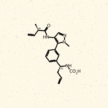 C=CC[C@H](NC(=O)O)c1cccc(-c2c(NC(=O)[C@H](C)C=C)cnn2C)c1